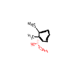 CSc1ccccc1C.OBO